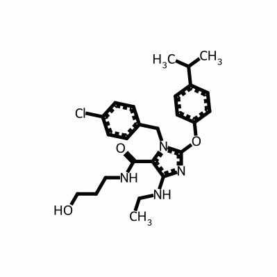 CCNc1nc(Oc2ccc(C(C)C)cc2)n(Cc2ccc(Cl)cc2)c1C(=O)NCCCO